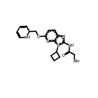 CC(C)(C)CC(=O)Nc1nc2ccc(OCC3C=CC=CN3)nc2n1C1CCC1